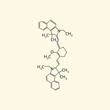 CCN1/C(=C/C=C2\CCCC(/C=C/C3=[N+](CC)c4ccc5ccccc5c4C3(C)C)=C2OC)C(C)(C)c2c1ccc1ccccc21